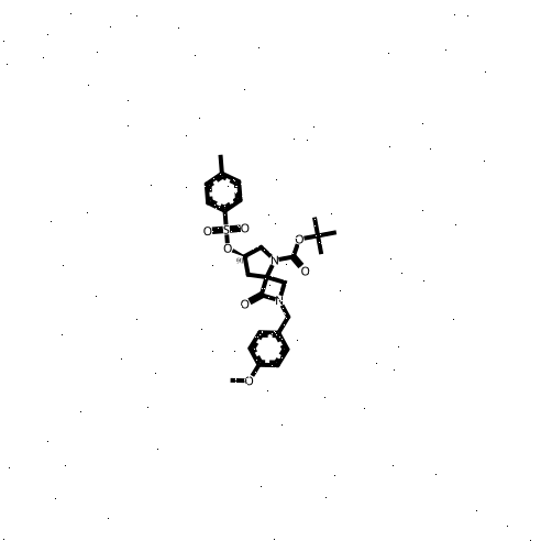 COc1ccc(CN2CC3(C[C@@H](OS(=O)(=O)c4ccc(C)cc4)CN3C(=O)OC(C)(C)C)C2=O)cc1